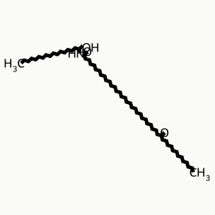 CCCCCCCCCCCCCCCCC(CO)NC(=O)CCCCCCCCCCCCCCCCCCCCCCCCCCCCCC(=O)CCCCCCCCCCCCC